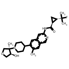 Cc1cc2cnc(NC(=O)[C@H]3C[C@@H]3C(C)(C)F)cc2cc1C1CCN([C@]2(C)COC[C@@H]2O)CC1